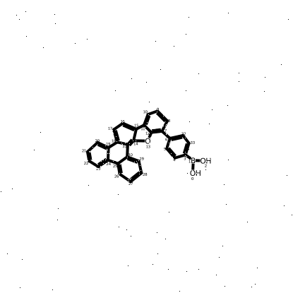 OB(O)c1ccc(-c2cccc3c2oc2c3ccc3c4ccccc4c4ccccc4c32)cc1